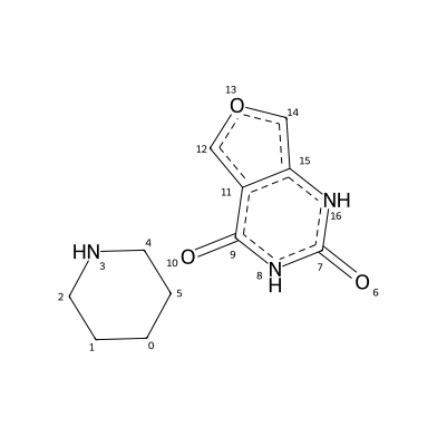 C1CCNCC1.O=c1[nH]c(=O)c2cocc2[nH]1